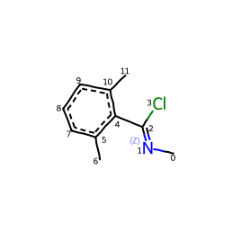 C/N=C(\Cl)c1c(C)cccc1C